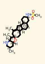 CC1=C2C[C@H]3[C@@H](CCC4C[C@H](NS(C)(=O)=O)CC[C@@]43C)[C@@H]2CC[C@@]2(C1)O[C@@H]1C[C@H](C)CN[C@H]1[C@H]2C